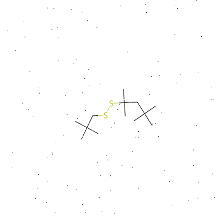 CC(C)(C)CSSC(C)(C)CC(C)(C)C